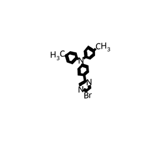 Cc1ccc(N(c2ccc(C)cc2)c2ccc(-c3cnc(Br)cn3)cc2)cc1